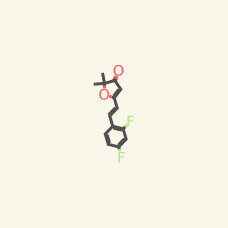 CC1(C)OC(C=Cc2ccc(F)cc2F)=CC1=O